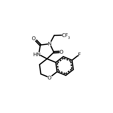 O=C1NC2(CCOc3ccc(F)cc32)C(=O)N1CC(F)(F)F